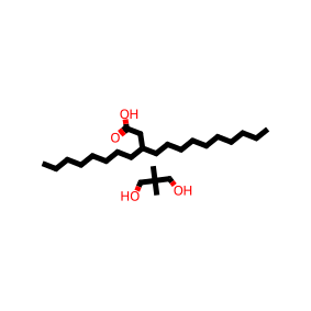 CC(C)(CO)CO.CCCCCCCCCCC(CCCCCCCC)CC(=O)O